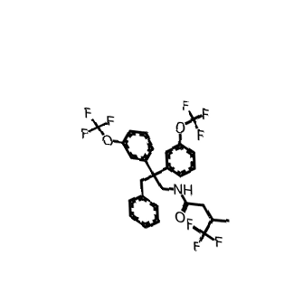 CC(CC(=O)NCC(Cc1ccccc1)(c1cccc(OC(F)(F)F)c1)c1cccc(OC(F)(F)F)c1)C(F)(F)F